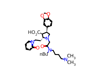 CCCCN(CCCCN(C)C)C(=O)CN1C[C@H](c2ccc3c(c2)OCO3)[C@H](C(=O)O)[C@H]1CCn1ccccc1=O